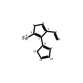 C=CC1=CC[C]([Fe])=C1C1=CC=CC1